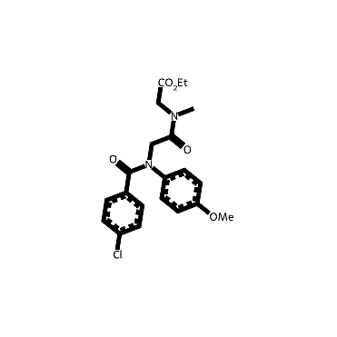 CCOC(=O)CN(C)C(=O)CN(C(=O)c1ccc(Cl)cc1)c1ccc(OC)cc1